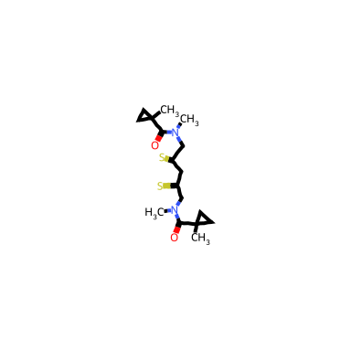 CN(CC(=S)CC(=S)CN(C)C(=O)C1(C)CC1)C(=O)C1(C)CC1